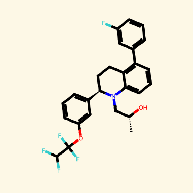 C[C@@H](O)CN1c2cccc(-c3cccc(F)c3)c2CC[C@@H]1c1cccc(OC(F)(F)C(F)F)c1